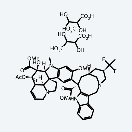 CC[C@]12C=CCN3CC[C@@]4(c5cc([C@@]6(C(=O)OC)C[C@@H]7C[C@@H](C(C)(F)F)CN(Cc8c6[nH]c6ccccc86)C7)c(OC)cc5N(C)[C@H]4[C@@](O)(C(=O)OC)[C@@H]1OC(C)=O)[C@@H]32.O=C(O)C(O)C(O)C(=O)O.O=C(O)C(O)C(O)C(=O)O